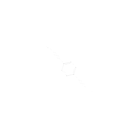 CC#Cc1ccc(C#CC#N)cc1